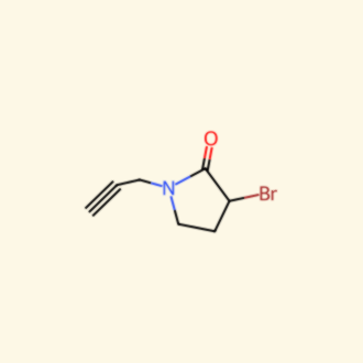 C#CCN1CCC(Br)C1=O